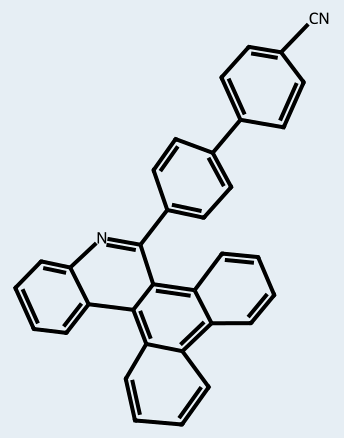 N#Cc1ccc(-c2ccc(-c3nc4ccccc4c4c5ccccc5c5ccccc5c34)cc2)cc1